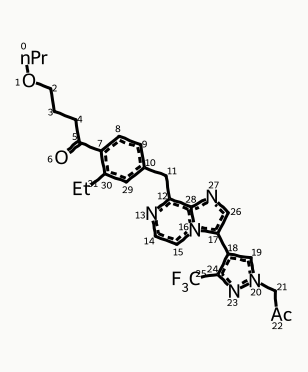 CCCOCCCC(=O)c1ccc(Cc2nccn3c(-c4cn(CC(C)=O)nc4C(F)(F)F)cnc23)cc1CC